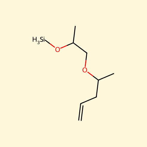 C=CCC(C)OCC(C)O[SiH3]